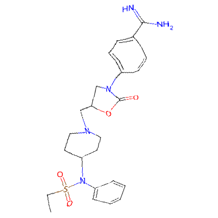 CCS(=O)(=O)N(c1ccccc1)C1CCN(CC2CN(c3ccc(C(=N)N)cc3)C(=O)O2)CC1